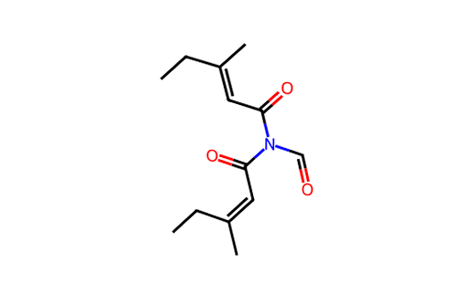 CCC(C)=CC(=O)N(C=O)C(=O)C=C(C)CC